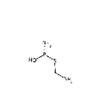 NCS[P@@](N)O